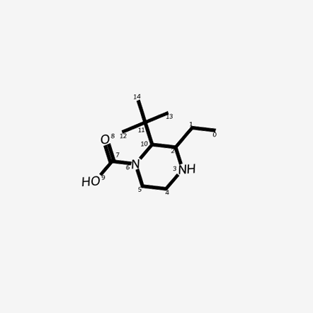 CCC1NCCN(C(=O)O)C1C(C)(C)C